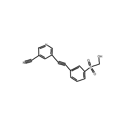 N#Cc1cncc(C#Cc2cccc(S(=O)(=O)CO)c2)c1